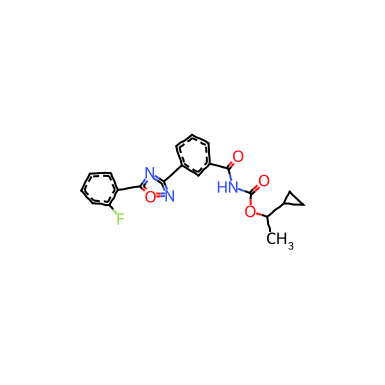 CC(OC(=O)NC(=O)c1cccc(-c2noc(-c3ccccc3F)n2)c1)C1CC1